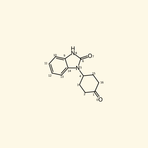 O=C1CCC(n2c(=O)[nH]c3ccccc32)CC1